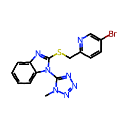 Cn1nnnc1-n1c(SCc2ccc(Br)cn2)nc2ccccc21